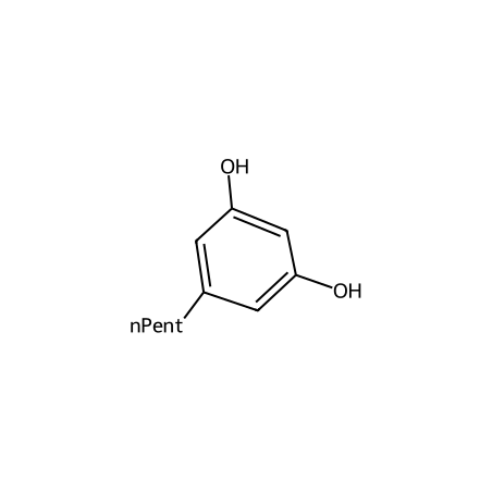 [13CH3]CCCCc1cc(O)cc(O)c1